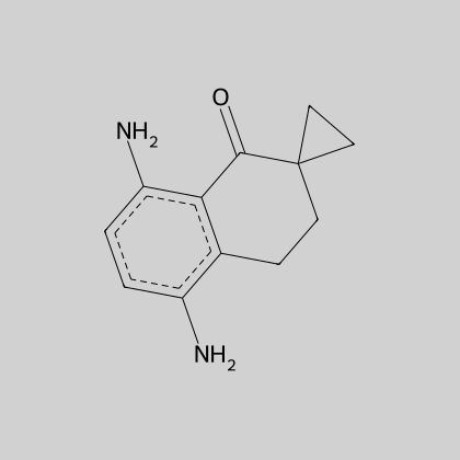 Nc1ccc(N)c2c1CCC1(CC1)C2=O